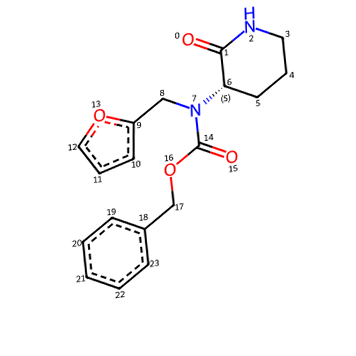 O=C1NCCC[C@@H]1N(Cc1ccco1)C(=O)OCc1ccccc1